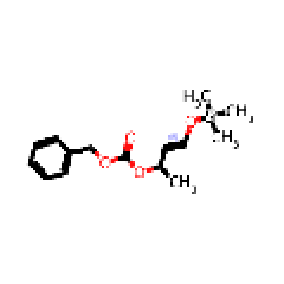 CC(/C=C/O[Si](C)(C)C)OC(=O)OCc1ccccc1